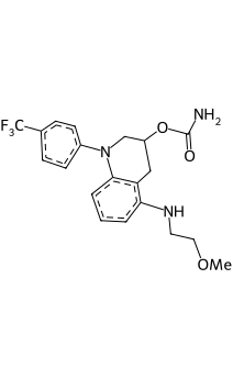 COCCNc1cccc2c1CC(OC(N)=O)CN2c1ccc(C(F)(F)F)cc1